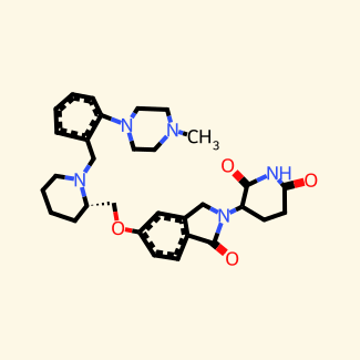 CN1CCN(c2ccccc2CN2CCCC[C@H]2COc2ccc3c(c2)CN(C2CCC(=O)NC2=O)C3=O)CC1